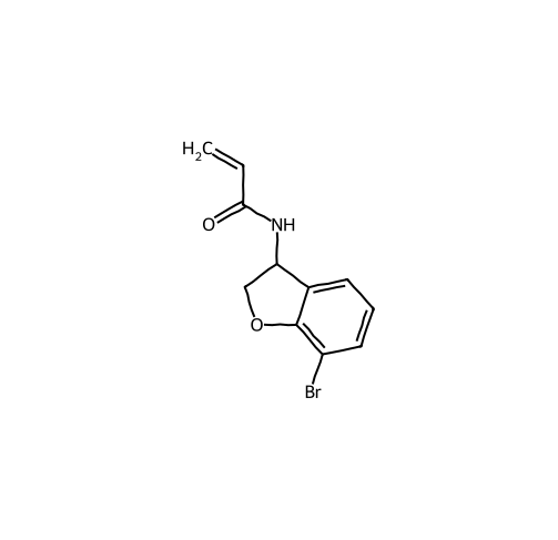 C=CC(=O)NC1COc2c(Br)cccc21